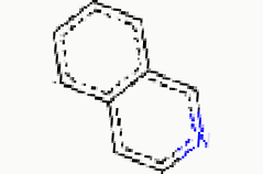 [c]1cccc2cnccc12